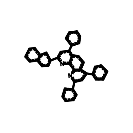 c1ccc(-c2cc(-c3ccccc3)c3ccc4c(-c5ccccc5)cc(-c5ccc6ccccc6c5)nc4c3n2)cc1